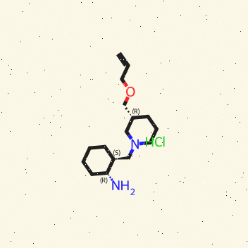 C=CCOC[C@@H]1CCCN(C[C@@H]2CCCC[C@H]2N)C1.Cl